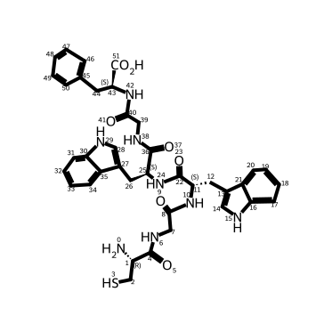 N[C@@H](CS)C(=O)NCC(=O)N[C@@H](Cc1c[nH]c2ccccc12)C(=O)N[C@@H](Cc1c[nH]c2ccccc12)C(=O)NCC(=O)N[C@@H](Cc1ccccc1)C(=O)O